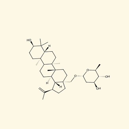 C=C(C)[C@@H]1CC[C@]2(CO[C@H]3C[C@H](O)[C@@H](O)[C@H](C)O3)CC[C@]3(C)[C@H](CCC4[C@@]5(C)CC[C@@H](O)C(C)(C)[C@@H]5CC[C@]43C)[C@@H]12